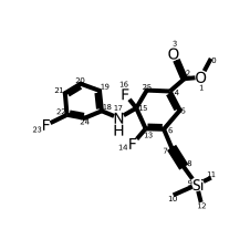 COC(=O)C1=CC(C#C[Si](C)(C)C)=C(F)C(F)(Nc2cccc(F)c2)C1